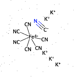 N#[C][Fe-4]([C]#N)([C]#N)([C]#N)([C]#N)[C]#N.[C-]#N.[K+].[K+].[K+].[K+].[K+]